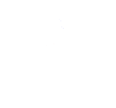 C=CN1C=CN(CCCCCCCCCCCCCCCC)C1.C=Cc1ccc(S(=O)(=O)O)cc1